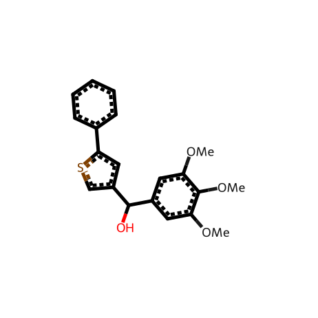 COc1cc(C(O)c2csc(-c3ccccc3)c2)cc(OC)c1OC